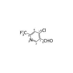 O=Cc1cnc(C(F)(F)F)cc1Cl